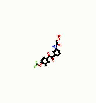 O=C(COO)Nc1cccc(C(=O)C(=O)c2ccc(OC(F)F)cc2)c1